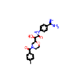 Cc1ccc(C(=O)N2CCOC(C(O)C(=O)Nc3ccc(C(=N)N)cc3)C2)cc1